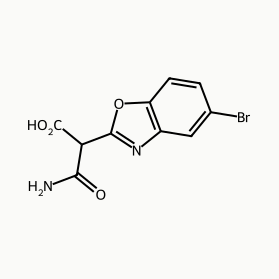 NC(=O)C(C(=O)O)c1nc2cc(Br)ccc2o1